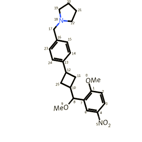 COc1ccc([N+](=O)[O-])cc1C(OC)C1CC(c2ccc(CN3CCCC3)cc2)C1